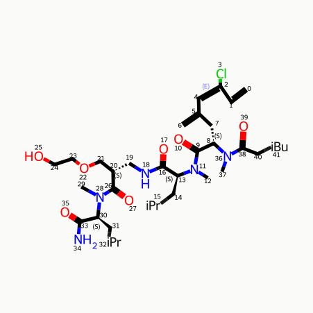 C=C/C(Cl)=C\C(=C)C[C@@H](C(=O)N(C)[C@@H](CC(C)C)C(=O)NC[C@@H](COCCO)C(=O)N(C)[C@@H](CC(C)C)C(N)=O)N(C)C(=O)CC(C)CC